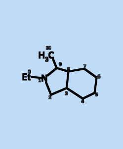 CCN1CC2CCCCC2C1C